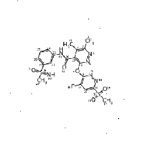 Cc1c(C(F)(F)F)nnc(Oc2nnc(S(C)(=O)=O)cc2F)c1C(=O)Nc1cccc(S(C)(=N)=O)c1